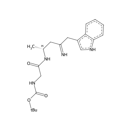 C[C@H](CC(=N)Cc1c[nH]c2ccccc12)NC(=O)CNC(=O)OC(C)(C)C